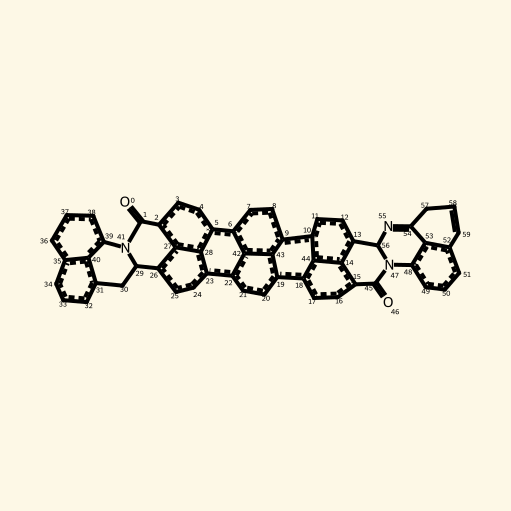 O=C1c2ccc3c4ccc5c6ccc7c8c(ccc(c9ccc(c%10ccc(c2c%103)C2Cc3cccc%10cccc(c3%10)N12)c4c95)c86)C(=O)N1c2cccc3c2C(=NC71)CC=C3